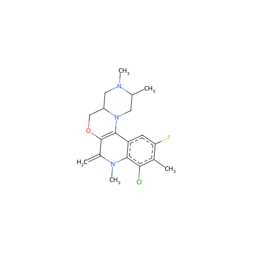 C=C1C2=C(c3cc(F)c(C)c(Cl)c3N1C)N1CC(C)N(C)CC1CO2